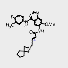 COc1cc2ncnc(Nc3ccc(F)c(C)c3)c2cc1NC(=O)/C=C/CN1CC2(CCCC2)C1